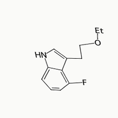 CCOCCc1c[nH]c2cccc(F)c12